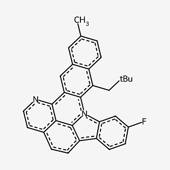 Cc1ccc2c(CC(C)(C)C)c3c(cc2c1)c1nccc2ccc4c5ccc(F)cc5n3c4c21